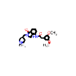 COc1cc(CC(=O)Nc2cccc3c(=O)n(CC4CCN(C)CC4)ccc23)cc(OC)c1